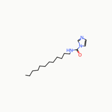 CCCCCCCCCCCCNC(=O)n1ccnc1